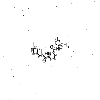 CC(C)NC(=O)C1C=CC=C(C(=O)NCc2cn[nH]c2)N1